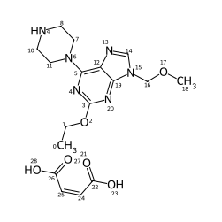 CCOc1nc(N2CCNCC2)c2ncn(COC)c2n1.O=C(O)/C=C\C(=O)O